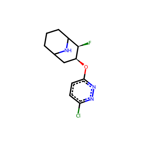 F[C@@H]1C2CCCC(C[C@@H]1Oc1ccc(Cl)nn1)N2